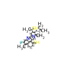 C=C(C)CCC1=C(C(C)S)C=C2c3nc4cc(F)c(C)c5c4c(c3CN2C1=C)C(S)CCC5